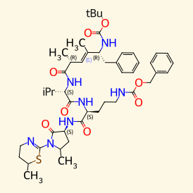 C/C(=C\[C@@H](C)C(=O)N[C@H](C(=O)N[C@@H](CCCNC(=O)OCc1ccccc1)C(=O)N[C@H]1CC(C)N(C2=NCCC(C)S2)C1=O)C(C)C)[C@@H](Cc1ccccc1)NC(=O)OC(C)(C)C